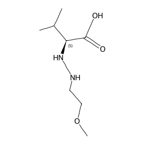 COCCNN[C@H](C(=O)O)C(C)C